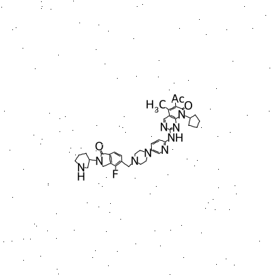 CC(=O)c1c(C)c2cnc(Nc3ccc(N4CCN(Cc5ccc6c(c5F)CN(C5CCCNC5)C6=O)CC4)cn3)nc2n(C2CCCC2)c1=O